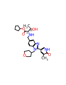 Cc1cc(-c2nc3cc(CN[C@H](C(=O)OC4CCCC4)[C@@H](C)O)ccc3n2CC2CCOCC2)c[nH]c1=O